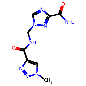 Cn1cc(C(=O)NCn2cnc(C(N)=O)n2)nn1